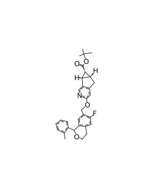 Cc1ccccc1C1OCCc2cc(F)c(COc3cc4c(cn3)[C@H]3[C@@H](C4)[C@@H]3C(=O)OC(C)(C)C)cc21